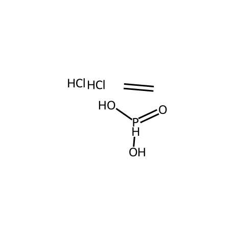 C=C.Cl.Cl.O=[PH](O)O